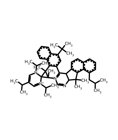 CC(C)Cc1cccc2ccc3c(c12)C(C)(C)C1N=C[N+]2=C(c4cc(C(C)(C)C)c5ccccc5c4C4(C)C2(C)C42N(C(C)C)C=C(C(C)C)C=[N+]2C(C)C)C31